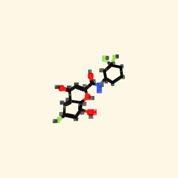 O=C(NC1CCCC(F)(F)C1)c1cc(=O)c2cc(F)cc(O)c2o1